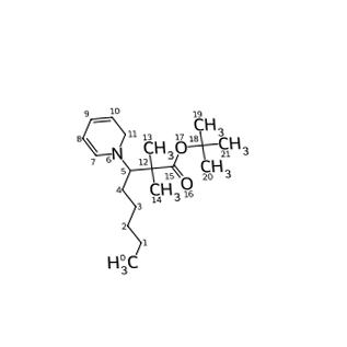 CCCCCC(N1C=CC=CC1)C(C)(C)C(=O)OC(C)(C)C